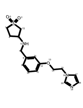 O=S1(=O)CCC(NCc2cccc(OCCn3ccnc3)c2)C1